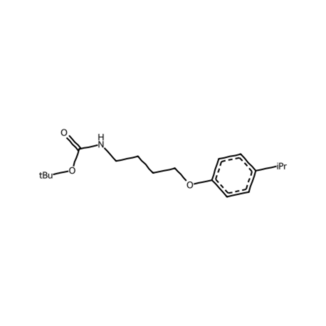 CC(C)c1ccc(OCCCCNC(=O)OC(C)(C)C)cc1